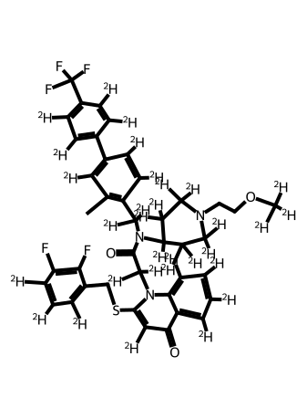 [2H]c1c([2H])c(F)c(F)c(CSc2c([2H])c(=O)c3c([2H])c([2H])c([2H])c([2H])c3n2C([2H])([2H])C(=O)N(C([2H])([2H])c2c([2H])c([2H])c(-c3c([2H])c([2H])c(C(F)(F)F)c([2H])c3[2H])c([2H])c2C)C2([2H])C([2H])([2H])C([2H])([2H])N(CCOC([2H])([2H])[2H])C([2H])([2H])C2([2H])[2H])c1[2H]